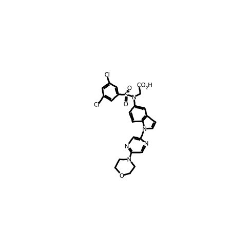 O=C(O)CN(c1ccc2c(ccn2-c2cnc(N3CCOCC3)cn2)c1)S(=O)(=O)c1cc(Cl)cc(Cl)c1